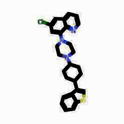 Clc1cc(N2CCN(C3CCC(c4csc5ccccc45)CC3)CC2)c2ncccc2c1